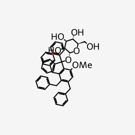 COc1cc(Cc2ccccc2)c(Cc2ccccc2)c(Cc2ccccc2)c1C(O[C@H]1O[C@H](CO)[C@@H](O)[C@H](O)[C@@H]1O)(c1ccccc1)c1ccccc1